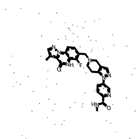 CNC(=O)c1ccc(-n2ncc3c2CCN(Cc2ccc4c([nH]c(=O)c5c(C)cnn54)c2F)C3)cn1